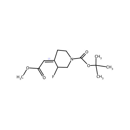 COC(=O)/C=C1/CCN(C(=O)OC(C)(C)C)CC1F